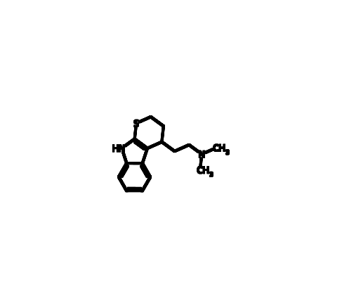 CN(C)CCC1CCSc2[nH]c3ccccc3c21